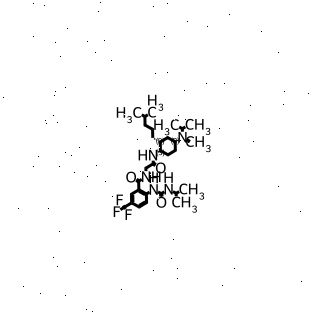 CC(C)CCC[C@@H]1C[C@H](N(C)C(C)C)CC[C@@H]1NC(=O)CNC(=O)c1cc(C(F)(F)F)ccc1NC(=O)NC(C)C